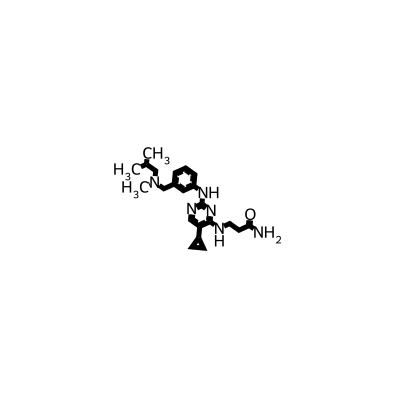 CC(C)CN(C)Cc1cccc(Nc2ncc(C3CC3)c(NCCC(N)=O)n2)c1